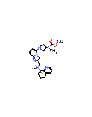 CN(CC1CN2C(N3CC[C@@H](N(C)C(=O)OC(C)(C)C)C3)=CC=CC2=N1)[C@H]1CCCc2cccnc21